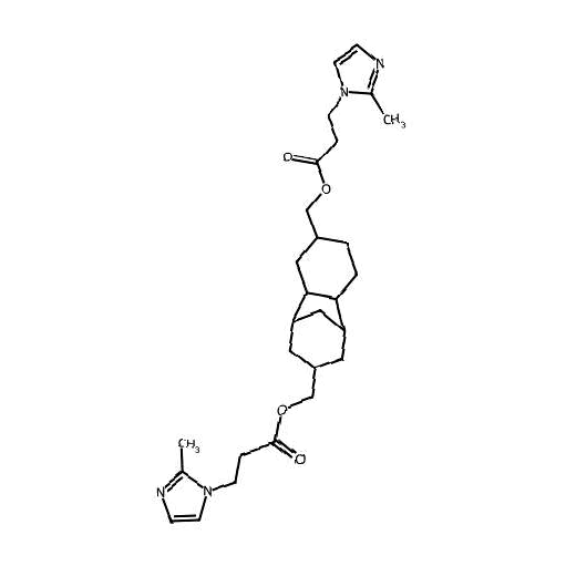 Cc1nccn1CCC(=O)OCC1CC2CC(C1)C1CC(COC(=O)CCn3ccnc3C)CCC21